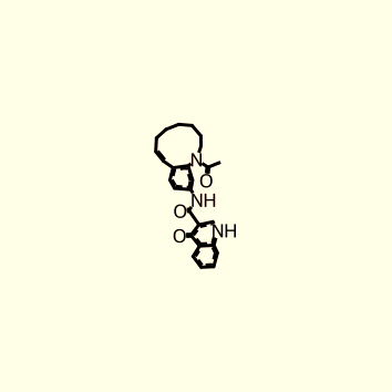 CC(=O)N1CCCCCC/C=C\c2ccc(NC(=O)c3c[nH]c4ccccc4c3=O)cc21